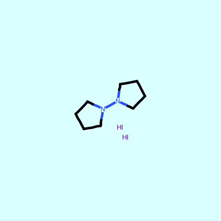 C1CCN(N2CCCC2)C1.I.I